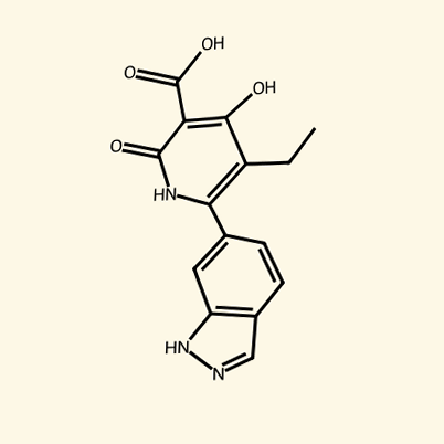 CCc1c(-c2ccc3cn[nH]c3c2)[nH]c(=O)c(C(=O)O)c1O